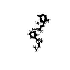 Cc1ccc(F)c2cc(C(=O)Nc3cccc(-c4nnc(CN(C)C)s4)c3)[nH]c12